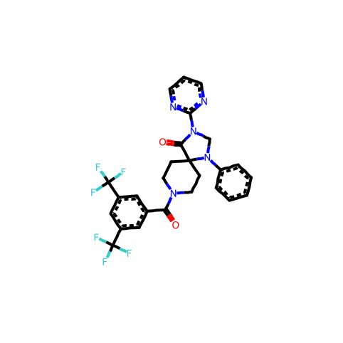 O=C(c1cc(C(F)(F)F)cc(C(F)(F)F)c1)N1CCC2(CC1)C(=O)N(c1ncccn1)CN2c1ccccc1